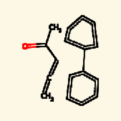 C=C=CC(C)=O.c1ccc(-c2ccccc2)cc1